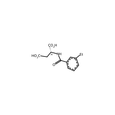 CCc1cccc(C(=O)N[C@H](CC(=O)O)C(=O)O)c1